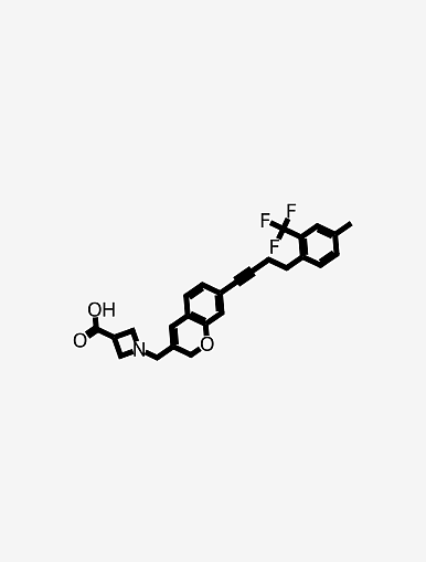 Cc1ccc(CCC#Cc2ccc3c(c2)OCC(CN2CC(C(=O)O)C2)=C3)c(C(F)(F)F)c1